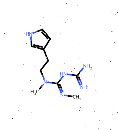 C/N=C(\NC(=N)N)N(C)CCc1cc[nH]c1